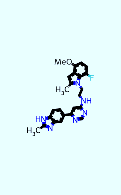 COc1ccc(F)c2c1cc(C)n2CCNc1cc(-c2ccc3[nH]c(C)nc3c2)ncn1